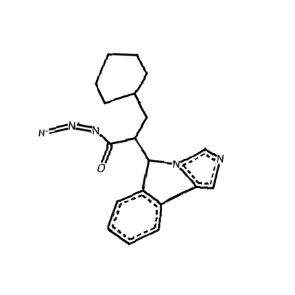 [N-]=[N+]=NC(=O)C(CC1CCCCC1)C1c2ccccc2-c2cncn21